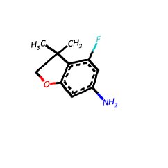 CC1(C)COc2cc(N)cc(F)c21